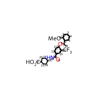 COc1ccccc1C(C)Oc1ccc(C(=O)NC[C@H]2CC[C@H](C(=O)O)CC2)cc1C(F)(F)F